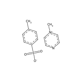 C[n+]1ccncc1.Cc1ccc(S(=O)(=O)[O-])cc1